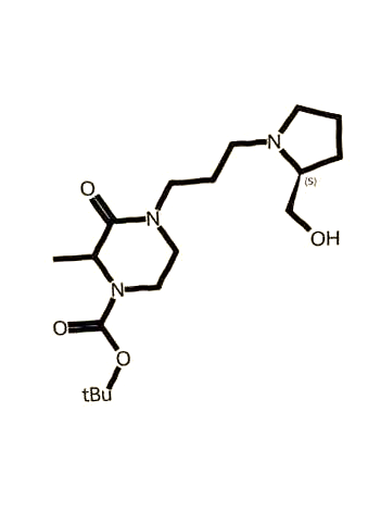 CC1C(=O)N(CCCN2CCC[C@H]2CO)CCN1C(=O)OC(C)(C)C